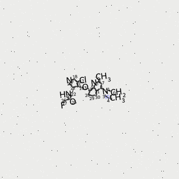 C=CN(/C=C\C)c1cc(C)nc2c(OCc3c(Cl)cncc3CNC(=O)CF)cccc12